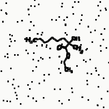 CCCCCCC(C)(O)C(=O)OCC